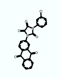 O=C1c2ccccc2C(=O)c2cc(N3C(=O)C(=O)N(c4cccc(Cl)c4)C3=O)ccc21